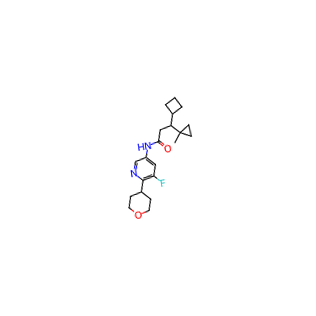 CC1(C(CC(=O)Nc2cnc(C3CCOCC3)c(F)c2)C2CCC2)CC1